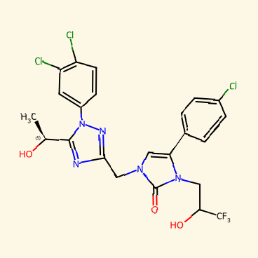 C[C@H](O)c1nc(Cn2cc(-c3ccc(Cl)cc3)n(CC(O)C(F)(F)F)c2=O)nn1-c1ccc(Cl)c(Cl)c1